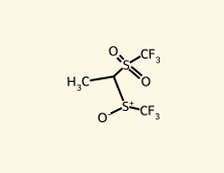 CC([S+]([O-])C(F)(F)F)S(=O)(=O)C(F)(F)F